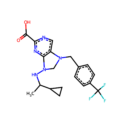 CC(NN1CN(Cc2ccc(C(F)(F)F)cc2)c2cnc(C(=O)O)nc21)C1CC1